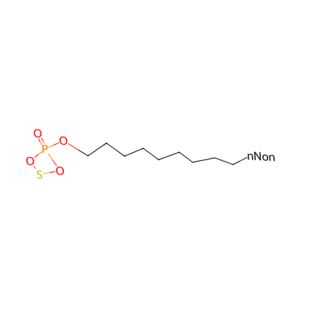 CCCCCCCCCCCCCCCCCCOP1(=O)OSO1